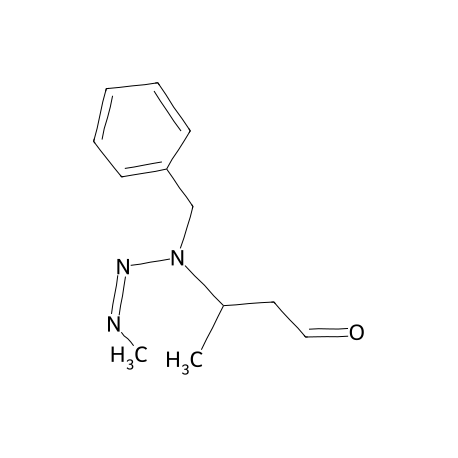 C/N=N\N(Cc1ccccc1)C(C)CC=O